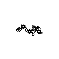 O=C1NC(=O)[C@](CN2Cc3cc(OCc4ccnc(N5CCOCC5)c4)ccc3C2=O)(c2ccc(F)cc2)N1